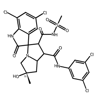 C[C@]1(O)CC2C(C(=O)Nc3cc(Cl)cc(Cl)c3)C(C(=O)NS(C)(=O)=O)C3(C(=O)Nc4c(Cl)cc(Cl)cc43)N2C1